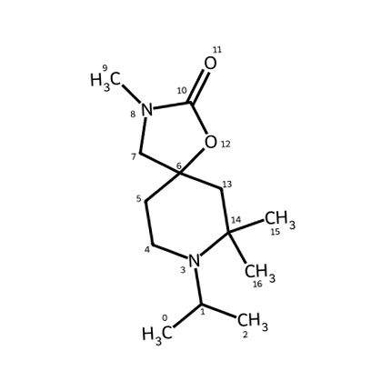 CC(C)N1CCC2(CN(C)C(=O)O2)CC1(C)C